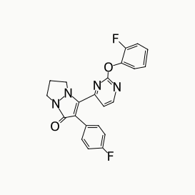 O=c1c(-c2ccc(F)cc2)c(-c2ccnc(Oc3ccccc3F)n2)n2n1CCC2